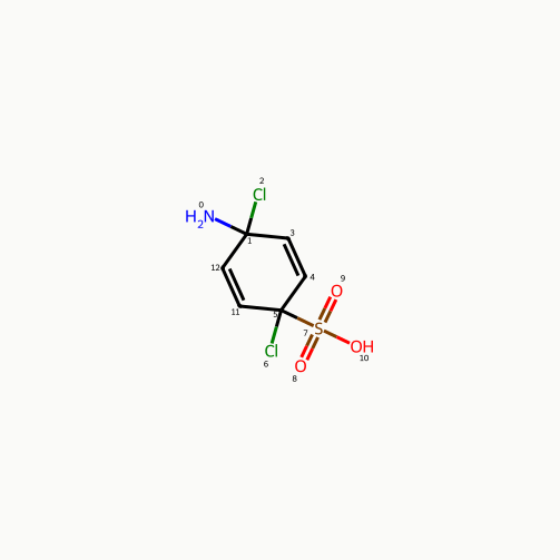 NC1(Cl)C=CC(Cl)(S(=O)(=O)O)C=C1